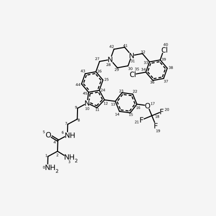 NCC(N)C(=O)NCCCn1cc(-c2ccc(OC(F)(F)F)cc2)c2cc(CN3CCN(Cc4c(Cl)cccc4Cl)CC3)ccc21